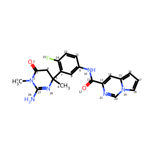 CN1C(=O)CC(C)(c2cc(NC(=O)c3cc4cccn4cn3)ccc2F)N=C1N